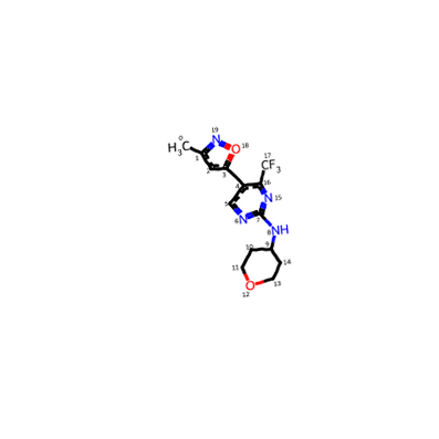 Cc1cc(-c2cnc(NC3CCOCC3)nc2C(F)(F)F)on1